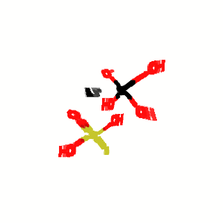 O=S(O)(O)=S.[Li+].[O-][Si](O)(O)O